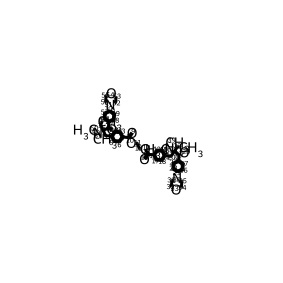 CCC(Cc1ccc(C(=O)OCCOC(=O)c2ccc(CC(CC)(C(=O)c3ccc(N4CCOCC4)cc3)N(C)C)cc2)cc1)(C(=O)c1ccc(N2CCOCC2)cc1)N(C)C